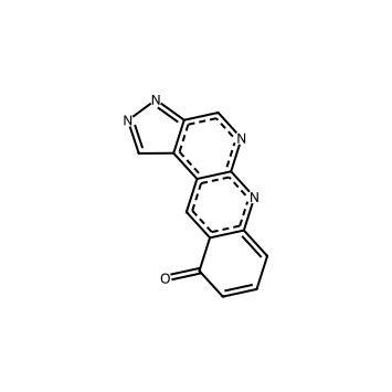 O=C1C=CC=c2nc3ncc4c(c3cc21)C=NN=4